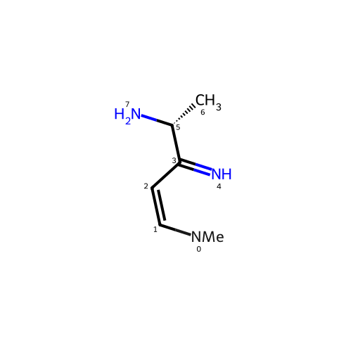 CN/C=C\C(=N)[C@@H](C)N